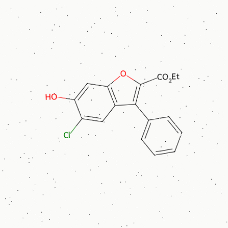 CCOC(=O)c1oc2cc(O)c(Cl)cc2c1-c1ccccc1